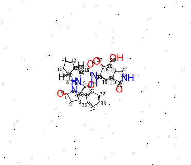 O=C1CC[C@@](C(=O)N2C[C@@H]3CCC[C@@H]3[C@@H]2C(=O)N[C@H](C[C@H]2CCNC2=O)C(=O)CO)(c2ccccc2)N1